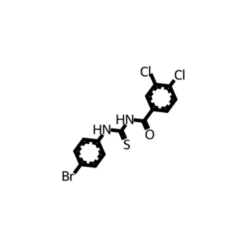 O=C(NC(=S)Nc1ccc(Br)cc1)c1ccc(Cl)c(Cl)c1